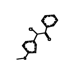 CSc1ccc(C(Cl)C(=O)c2ccccc2)cc1